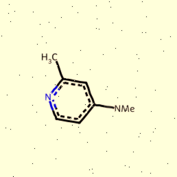 CNc1ccnc(C)c1